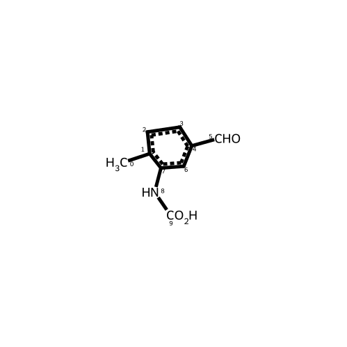 Cc1ccc(C=O)cc1NC(=O)O